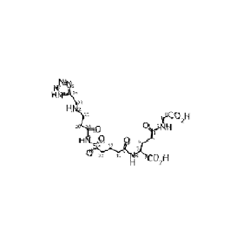 O=C(O)CNC(=O)CC[C@H](NC(=O)CCCS(=O)(=O)NC(=O)CCNCc1nnn[nH]1)C(=O)O